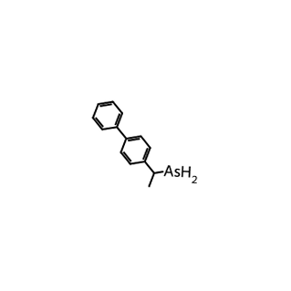 CC([AsH2])c1ccc(-c2ccccc2)cc1